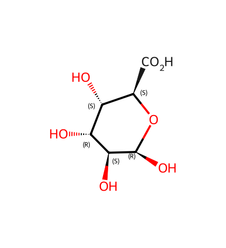 O=C(O)[C@H]1O[C@@H](O)[C@@H](O)[C@H](O)[C@@H]1O